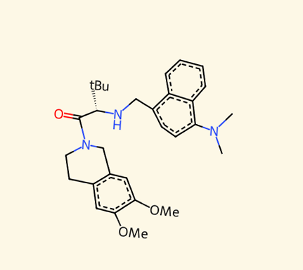 COc1cc2c(cc1OC)CN(C(=O)[C@@H](NCc1ccc(N(C)C)c3ccccc13)C(C)(C)C)CC2